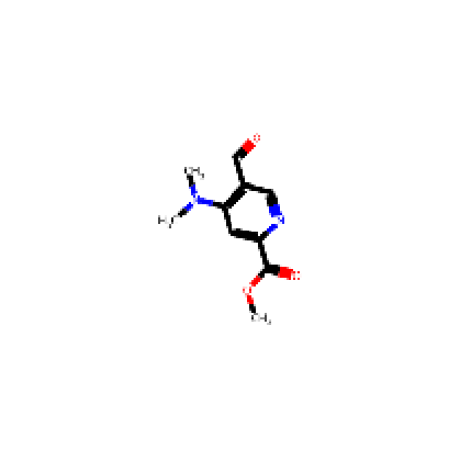 COC(=O)c1cc(N(C)C)c(C=O)cn1